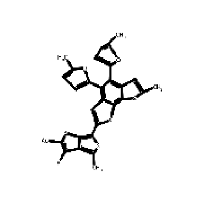 CC(=O)c1sc2c(-c3cc4c(-c5ccc(C)o5)c(-c5ccc(C)o5)c5cc(C)sc5c4s3)sc(C)c2c1F